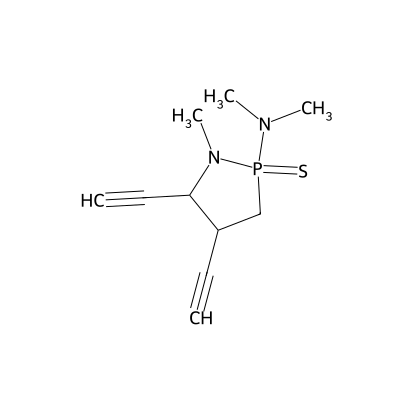 C#CC1CP(=S)(N(C)C)N(C)C1C#C